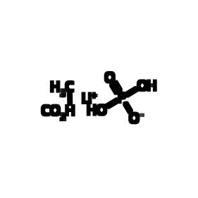 CC(=O)O.O=P([O-])(O)O.[Li+]